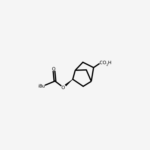 CCC(C)C(=O)O[C@@H]1CC2CC1CC2C(=O)O